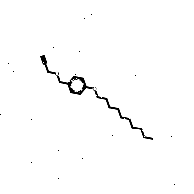 C#CCOCc1ccc(OCCCCCCCCCC)cc1